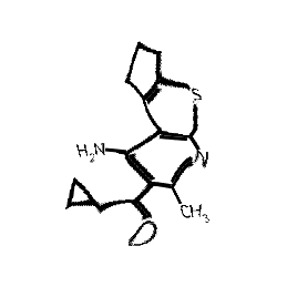 Cc1nc2sc3c(c2c(N)c1C(=O)C1CC1)CCC3